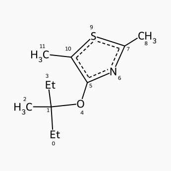 CCC(C)(CC)Oc1nc(C)sc1C